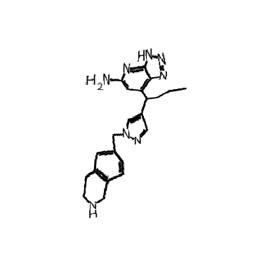 CCCC(c1cnn(Cc2ccc3c(c2)CCNC3)c1)c1cc(N)nc2[nH]nnc12